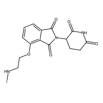 O=C1CCC(N2C(=O)c3cccc(OCCNI)c3C2=O)C(=O)N1